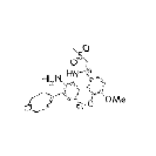 CCOc1cc([C@@H](CS(C)(=O)=O)Nc2cccc(C3=CCOCC3)c2N)ccc1OC